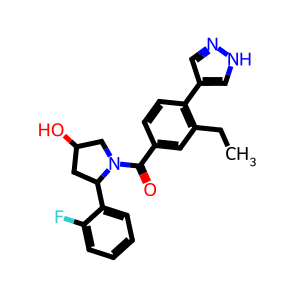 CCc1cc(C(=O)N2CC(O)CC2c2ccccc2F)ccc1-c1cn[nH]c1